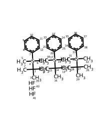 CC(C)(C)S(C)(C)c1ccccc1.CC(C)(C)S(C)(C)c1ccccc1.CC(C)(C)S(C)(C)c1ccccc1.F.F.F